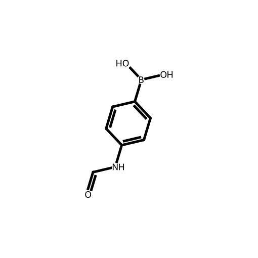 O=CNc1ccc(B(O)O)cc1